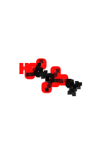 COCc1cc(C(C)(C)c2cc(COC)c(OCCOc3ccc(C(CC(C)(C)C)C(C)(C)C)cc3)c(COC)c2)cc(COC)c1O